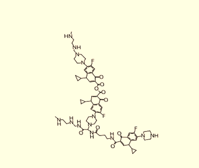 CNCCNCNC(=O)C(NC(=O)CCCNC(=O)C1=CC(C2CC2)c2cc(N3CCNCC3)c(F)cc2C1=O)N1CCN(c2cc3c(cc2F)C(=O)C(C(=O)OC(=O)C2=CC(C4CC4)c4cc(N5CCN(CNCCNC)CC5)c(F)cc4C2=O)=CC3C2CC2)CC1